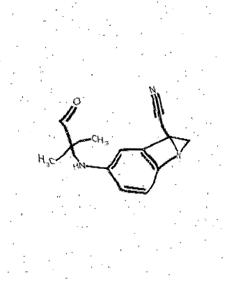 CC(C)(C=O)Nc1ccc2c(c1)C1(C#N)CN21